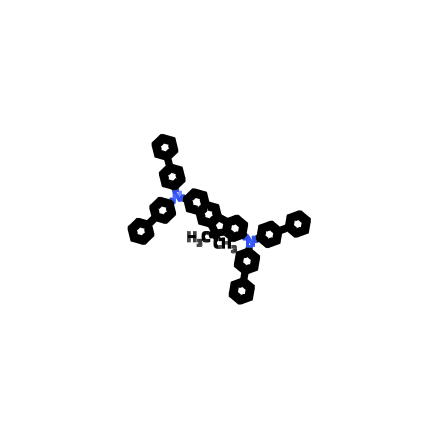 CC1(C)c2cc(N(c3ccc(-c4ccccc4)cc3)c3ccc(-c4ccccc4)cc3)ccc2-c2cc3ccc(N(c4ccc(-c5ccccc5)cc4)c4ccc(-c5ccccc5)cc4)cc3cc21